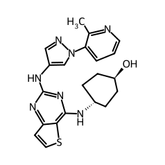 Cc1ncccc1-n1cc(Nc2nc(N[C@H]3CC[C@H](O)CC3)c3sccc3n2)cn1